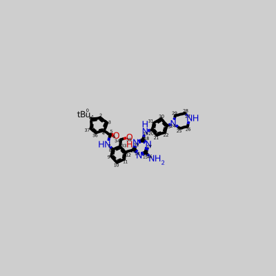 CC(C)(C)c1ccc(C(=O)Nc2cccc(-c3nc(N)nc(Nc4ccc(N5CCNCC5)cc4)n3)c2CO)cc1